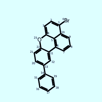 Brc1ccc2c3c(cccc13)-c1cc(-c3ccccc3)ccc1O2